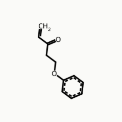 C=CC(=O)CCOc1ccccc1